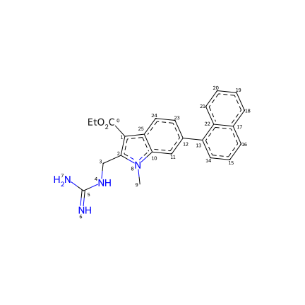 CCOC(=O)c1c(CNC(=N)N)n(C)c2cc(-c3cccc4ccccc34)ccc12